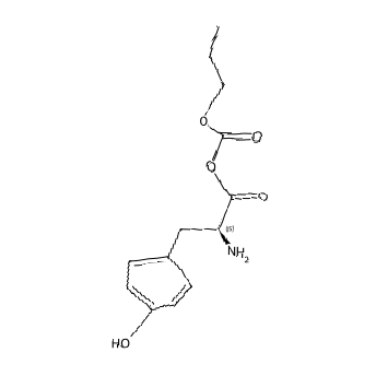 CCCOC(=O)OC(=O)[C@@H](N)Cc1ccc(O)cc1